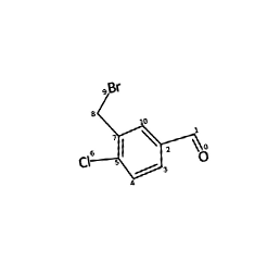 O=Cc1ccc(Cl)c(CBr)c1